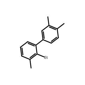 CCc1c(C)cccc1-c1ccc(C)c(C)c1